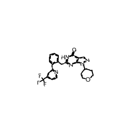 O=c1[nH]c(Cc2ccccc2-c2cc(C(F)(F)F)ccn2)nc2c1cnn2C1CCOCC1